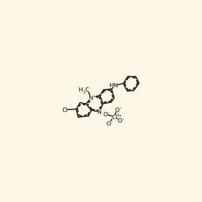 C[n+]1c2cc(Cl)ccc2nc2ccc(Nc3ccccc3)cc21.[O-][Cl+3]([O-])([O-])[O-]